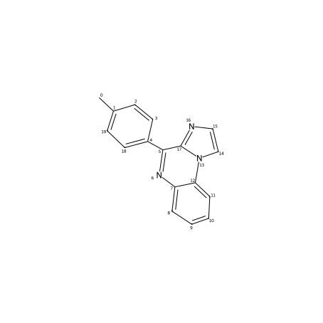 Cc1ccc(-c2nc3ccccc3n3ccnc23)cc1